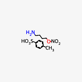 Cc1ccc(S(=O)(=O)O)cc1.NCCCCO[N+](=O)[O-]